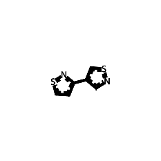 [c]1nscc1-c1ccsn1